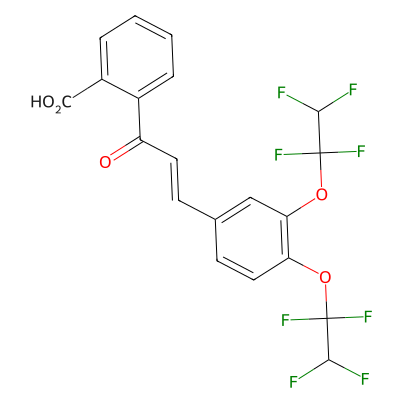 O=C(O)c1ccccc1C(=O)/C=C/c1ccc(OC(F)(F)C(F)F)c(OC(F)(F)C(F)F)c1